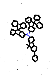 CC1(C)c2cc(-c3ccccc3)ccc2-c2ccc(N(c3ccc4c(c3)-c3ccccc3C4(c3ccccc3)c3ccccc3)c3ccc4c(c3)C(c3ccccc3)(c3ccccc3)c3ccccc3-4)cc21